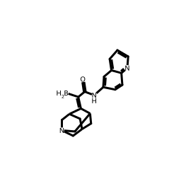 BC(C(=O)Nc1ccc2ncccc2c1)=C1C2CC3CC1CN(C3)C2